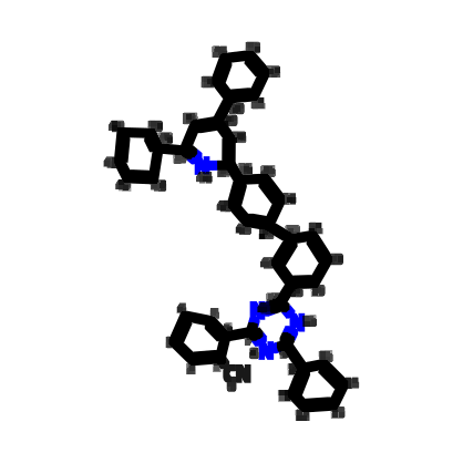 N#Cc1ccccc1-c1nc(-c2ccccc2)nc(-c2cccc(-c3ccc(-c4cc(-c5ccccc5)cc(-c5ccccc5)n4)cc3)c2)n1